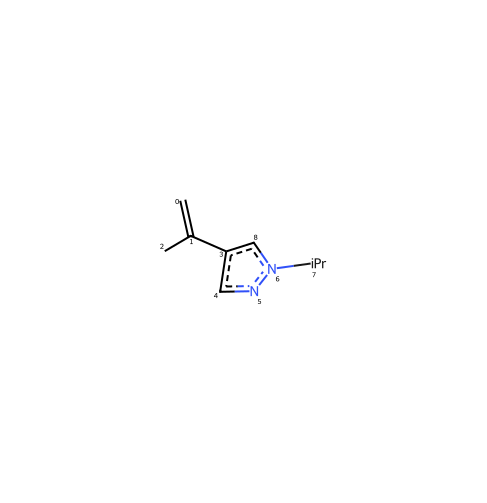 C=C(C)c1cnn(C(C)C)c1